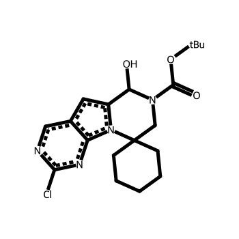 CC(C)(C)OC(=O)N1CC2(CCCCC2)n2c(cc3cnc(Cl)nc32)C1O